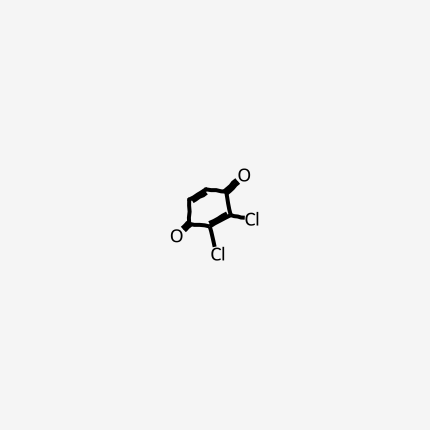 O=C1C=CC(=O)C(Cl)=C1Cl